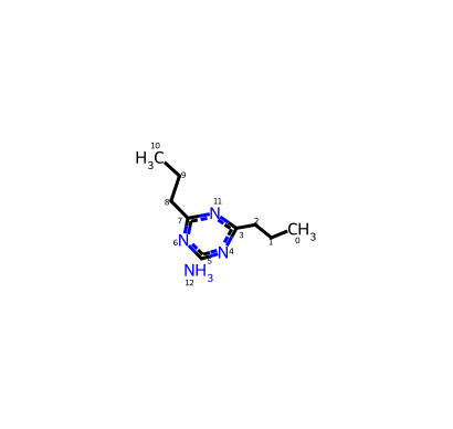 CCCc1ncnc(CCC)n1.N